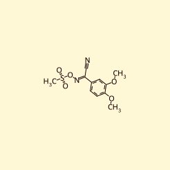 COc1ccc(C(C#N)=NOS(C)(=O)=O)cc1OC